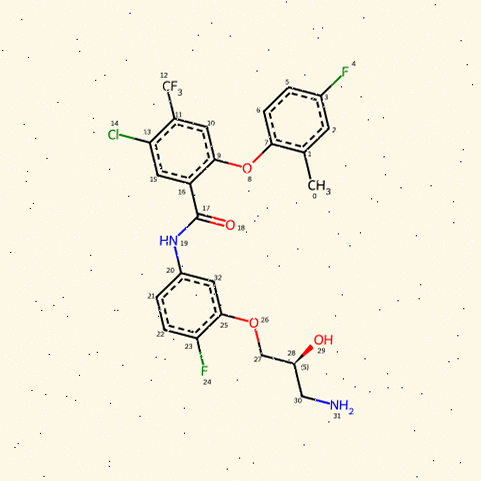 Cc1cc(F)ccc1Oc1cc(C(F)(F)F)c(Cl)cc1C(=O)Nc1ccc(F)c(OC[C@@H](O)CN)c1